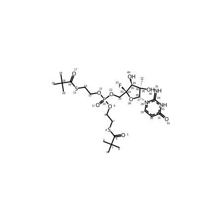 CC(C)(C)C(=O)SCCOP(=O)(OCCSC(=O)C(C)(C)C)OC[C@@]1(F)O[C@@H](n2ccc(=O)[nH]c2=N)[C@](C)(O)[C@@H]1O